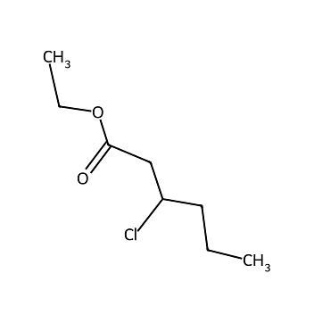 CCCC(Cl)CC(=O)OCC